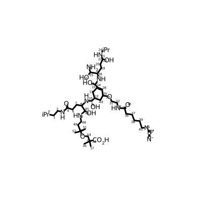 CC(C)CCNC(=O)CCC(N[C@@H](O)C1CC(C(O)NC(CCC(O)NC(C)C)C(N)O)=CC(OCCNC(=O)CCCCCN=[N+]=[N-])C1)C(O)NCCC(C)(C)OCC(C)(C)C(=O)O